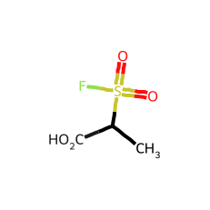 CC(C(=O)O)S(=O)(=O)F